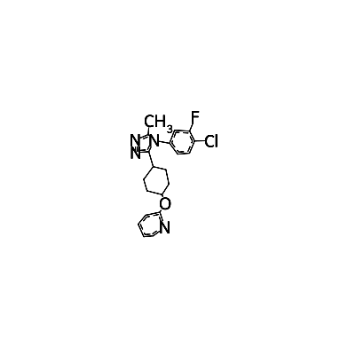 Cc1nnc(C2CCC(Oc3ccccn3)CC2)n1-c1ccc(Cl)c(F)c1